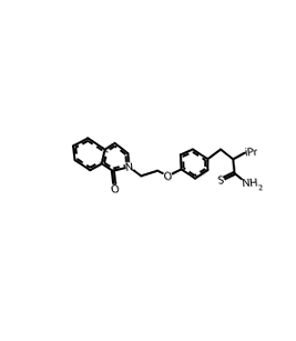 CC(C)C(Cc1ccc(OCCn2ccc3ccccc3c2=O)cc1)C(N)=S